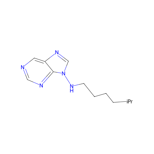 CC(C)CCCCNn1cnc2cncnc21